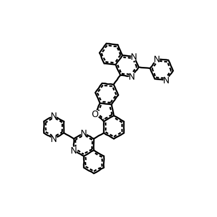 c1ccc2c(-c3ccc4oc5c(-c6nc(-c7cnccn7)nc7ccccc67)cccc5c4c3)nc(-c3cnccn3)nc2c1